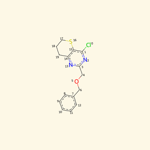 Clc1nc(COCc2ccccc2)nc2c1SCCC2